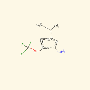 CC(C)c1cc(N)cc(OC(F)(F)F)c1